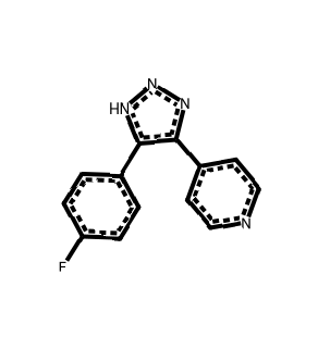 Fc1ccc(-c2[nH]nnc2-c2ccncc2)cc1